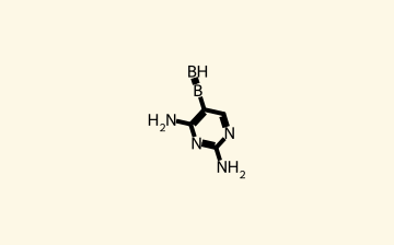 B=Bc1cnc(N)nc1N